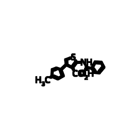 Cc1ccc(-c2csc(NC(=O)c3ccccc3)c2C(=O)O)cc1